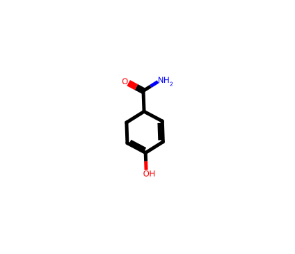 NC(=O)C1C=CC(O)=CC1